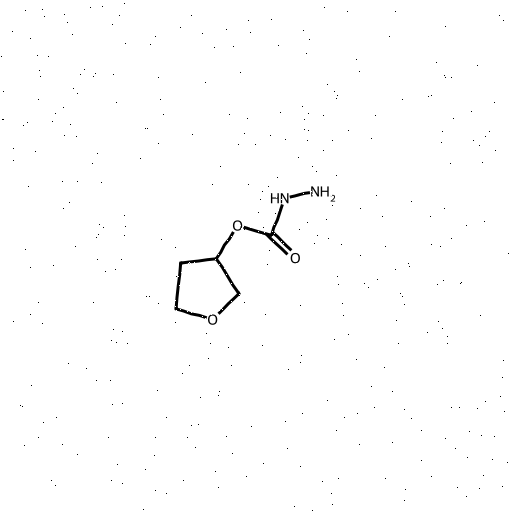 NNC(=O)OC1CCOC1